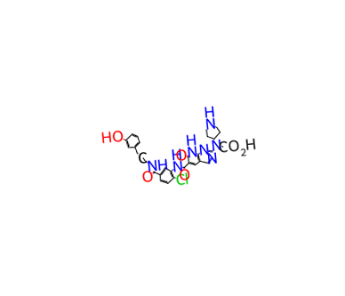 O=C(NCCCc1cccc(O)c1)c1ccc(Cl)c(NC(=O)c2cc3cnc(N(C(=O)O)C4CCNCC4)nc3[nH]c2=O)c1